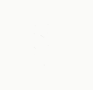 O=C(O)c1cc(Br)cnc1N1CCCCC1